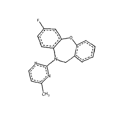 Cc1ccnc(N2Cc3ccccc3Oc3cc(F)ccc32)n1